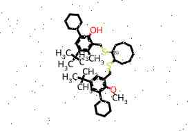 COc1c(CSC2CCCCCC[C@@H]2SCc2c(C)c(C(C)(C)C)cc(C3CCCCC3)c2O)cc(C(C)(C)C)cc1C1CCCCC1